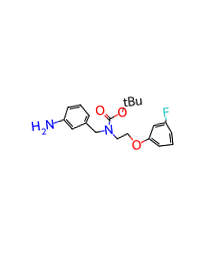 CC(C)(C)OC(=O)N(CCOc1cccc(F)c1)Cc1cccc(N)c1